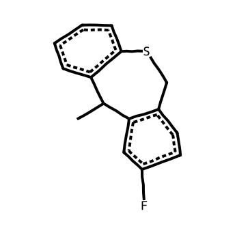 CC1c2cc(F)ccc2CSc2ccccc21